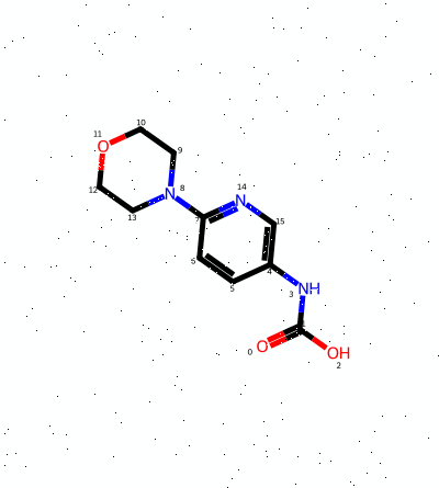 O=C(O)Nc1ccc(N2CCOCC2)nc1